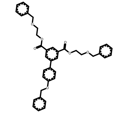 O=C(OCCOCc1ccccc1)c1cc(C(=O)OCCOCc2ccccc2)cc(-c2ccc(OCc3ccccc3)cc2)c1